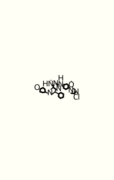 CNc1nc(Nc2ccc(-n3cnc(Cl)c3)c(OC)c2)nc2c1CN(Cc1ccc(OC)cc1)CC2c1ccccc1